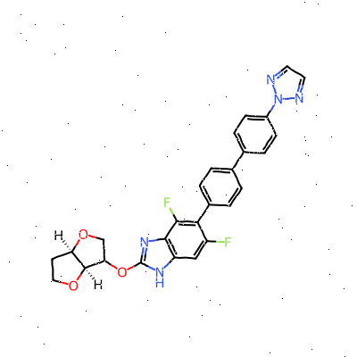 Fc1cc2[nH]c(OC3CO[C@@H]4CCO[C@H]34)nc2c(F)c1-c1ccc(-c2ccc(-n3nccn3)cc2)cc1